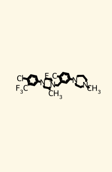 CC1CN(c2ccc(Cl)c(C(F)(F)F)c2)CCN1Cc1cc(N2CCCN(C)CC2)ccc1C(F)(F)F